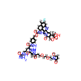 CC[C@@]1(O)C(=O)OCc2c1cc1n(c2=O)Cc2c-1nc1cc(F)c(C)c3c1c2[C@@H](NC(=O)OCc1ccc(NC(=O)[C@H](CCCNC(N)=O)NC(=O)[C@@H](NC(=O)CCOCCOCCN2C(=O)C=CC2=O)C(C)C)cc1)CC3